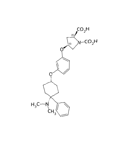 CN(C)C1(c2ccccc2)CCC(Oc2cccc(O[C@H]3C[C@@H](C(=O)O)N(C(=O)O)C3)c2)CC1